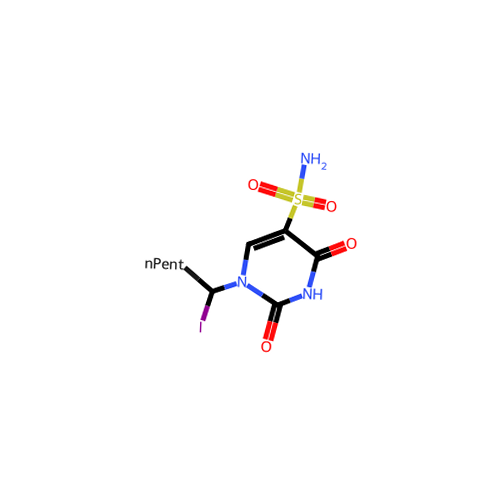 CCCCCC(I)n1cc(S(N)(=O)=O)c(=O)[nH]c1=O